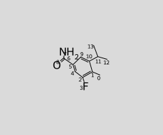 Cc1c(F)cc(C(N)=O)cc1C(C)C